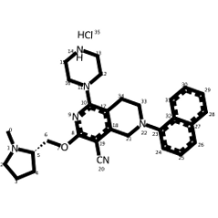 CN1CCC[C@H]1COc1nc(N2CCNCC2)c2c(c1C#N)CN(c1cccc3ccccc13)CC2.Cl